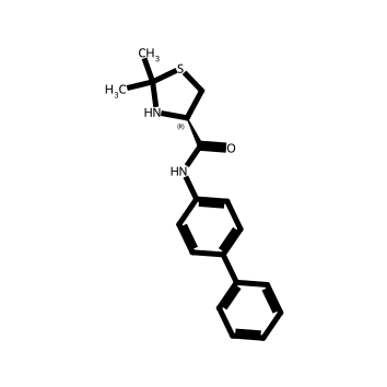 CC1(C)N[C@H](C(=O)Nc2ccc(-c3ccccc3)cc2)CS1